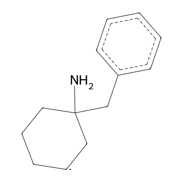 NC1(Cc2ccccc2)C[CH]CCC1